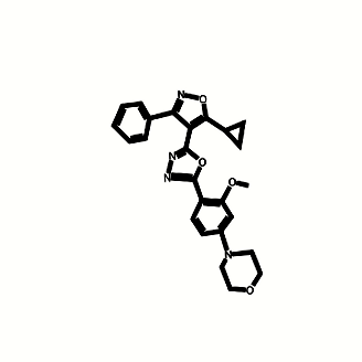 COc1cc(N2CCOCC2)ccc1-c1nnc(-c2c(-c3ccccc3)noc2C2CC2)o1